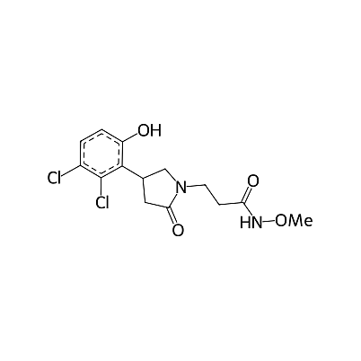 CONC(=O)CCN1CC(c2c(O)ccc(Cl)c2Cl)CC1=O